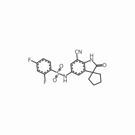 N#Cc1cc(NS(=O)(=O)c2ccc(F)cc2F)cc2c1NC(=O)C21CCCC1